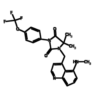 CNc1cccc2nccc(CN3C(=O)N(c4ccc(OC(F)(F)F)cc4)C(=O)C3(C)C)c12